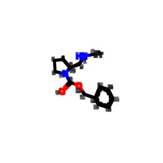 CC(C)NC[C@@H]1CCCN1C(=O)OCc1ccccc1